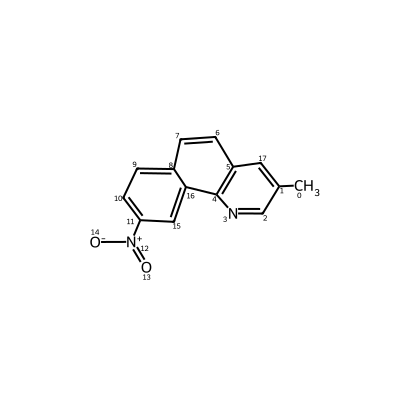 Cc1cnc2c(ccc3ccc([N+](=O)[O-])cc32)c1